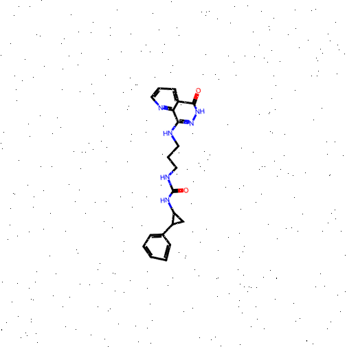 O=C(NCCCNc1n[nH]c(=O)c2cccnc12)NC1CC1c1ccccc1